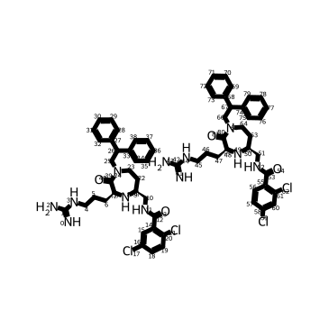 N=C(N)NCCC[C@@H]1N[C@H](CNC(=O)c2cc(Cl)ccc2Cl)CCN(CC(c2ccccc2)c2ccccc2)C1=O.N=C(N)NCCC[C@@H]1N[C@H](CNC(=O)c2ccc(Cl)cc2Cl)CCN(CC(c2ccccc2)c2ccccc2)C1=O